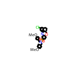 COc1ccc(CN(Cc2ccc(OC)cc2)S(=O)(=O)c2ccc3c(c2)N=C[C@@]2(CCCc4cc(Cl)ccc42)CO3)cc1